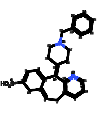 O=S(=O)(O)C1=CC=C2C(=CCc3cccnc3C2=C2CCN(Cc3ccccc3)CC2)C1